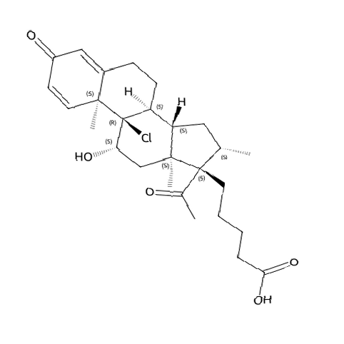 CC(=O)[C@@]1(CCCCC(=O)O)[C@@H](C)C[C@H]2[C@@H]3CCC4=CC(=O)C=C[C@]4(C)[C@@]3(Cl)[C@@H](O)C[C@@]21C